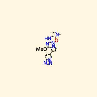 COc1nc(NC2CCN(C)C2=O)nn2ccc(-c3ccc4ncnn4c3)c12